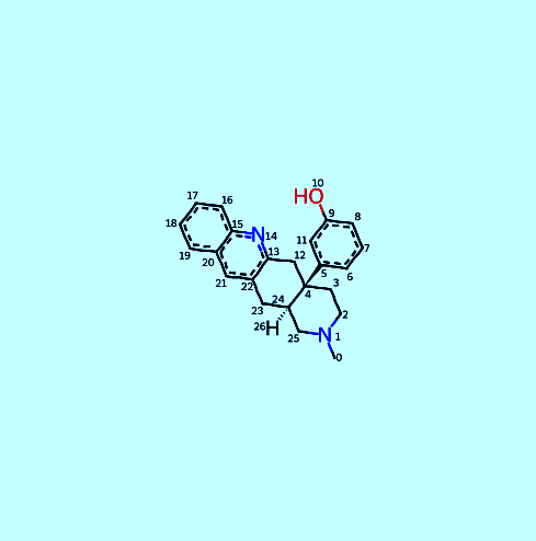 CN1CC[C@@]2(c3cccc(O)c3)Cc3nc4ccccc4cc3C[C@@H]2C1